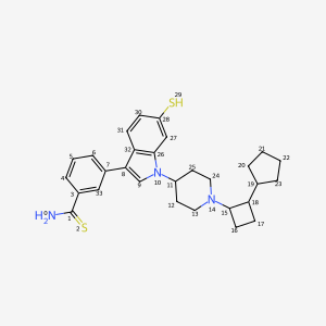 NC(=S)c1cccc(-c2cn(C3CCN(C4CCC4C4CCCC4)CC3)c3cc(S)ccc23)c1